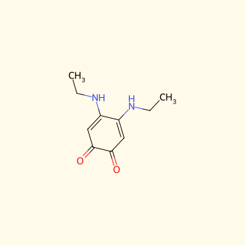 CCNC1=CC(=O)C(=O)C=C1NCC